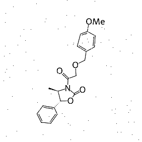 COc1ccc(COCC(=O)N2C(=O)O[C@H](c3ccccc3)[C@H]2C)cc1